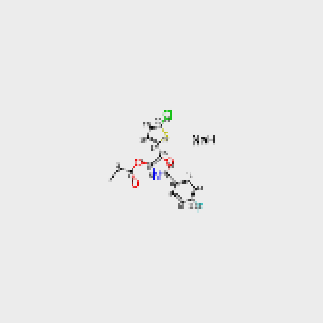 CCC(=O)Oc1nc(-c2ccc(F)cc2)oc1-c1ccc(Cl)s1.[NaH]